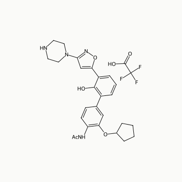 CC(=O)Nc1ccc(-c2cccc(-c3cc(N4CCNCC4)no3)c2O)cc1OC1CCCC1.O=C(O)C(F)(F)F